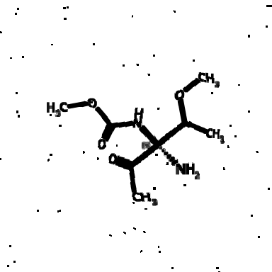 COC(=O)N[C@](N)(C(C)=O)C(C)OC